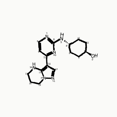 O[C@H]1CC[C@H](Nc2nccc(-c3cnn4c3NCCC4)n2)CC1